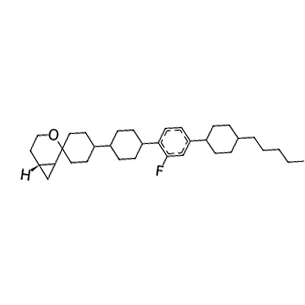 CCCCCC1CCC(c2ccc(C3CCC(C4CCC5(CC4)OCC[C@H]4CC45)CC3)c(F)c2)CC1